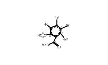 [2H]c1c([2H])c([2H])c(C(=O)OC)c(C(=O)O)c1[2H]